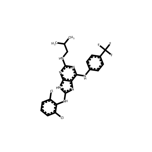 CC(C)CNc1nc(Nc2ccc(C(F)(F)F)cc2)c2nc(Nc3c(Cl)cccc3Cl)[nH]c2n1